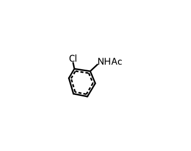 CC(=O)Nc1ccccc1Cl